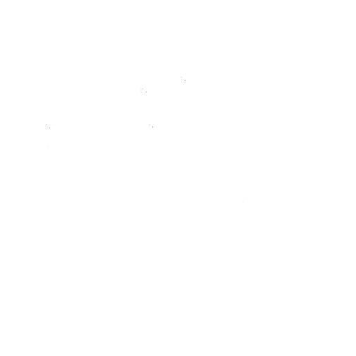 CN(C)c1ccc(-c2nc3c(-c4cccc(C5CCOc6cc(C7CC7)cc(F)c6C5=O)c4CO)ccnc3[nH]2)cc1